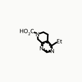 CCc1ncnc2c1CCN(C(=O)O)C2